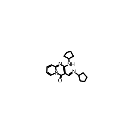 O=c1c(/C=N/C2CCCC2)c(NC2CCCC2)nc2ccccn12